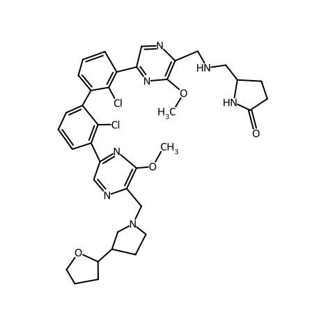 COc1nc(-c2cccc(-c3cccc(-c4cnc(CN5CCC(C6CCCO6)C5)c(OC)n4)c3Cl)c2Cl)cnc1CNCC1CCC(=O)N1